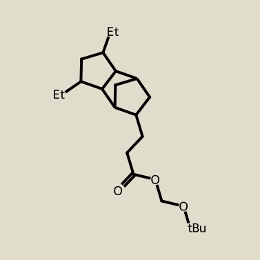 CCC1CC(CC)C2C3CC(CC3CCC(=O)OCOC(C)(C)C)C12